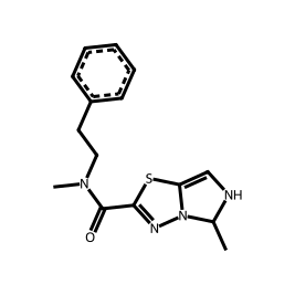 CC1NC=C2SC(C(=O)N(C)CCc3ccccc3)=NN21